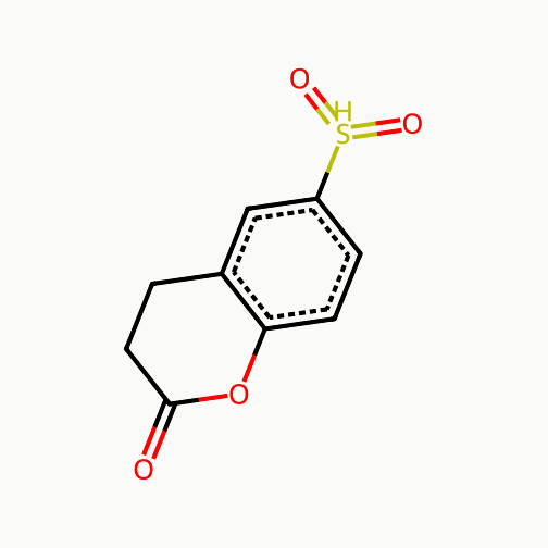 O=C1CCc2cc([SH](=O)=O)ccc2O1